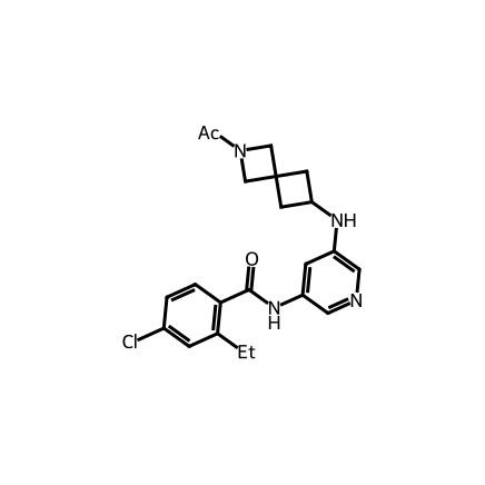 CCc1cc(Cl)ccc1C(=O)Nc1cncc(NC2CC3(C2)CN(C(C)=O)C3)c1